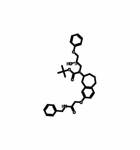 CC(C)(C)OC(=O)N(C[C@H](O)COc1ccccc1)C1CCCc2ccc(OCC(=O)NCc3ccccc3)cc2C1